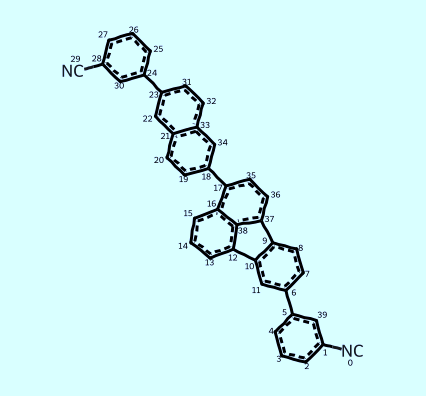 [C-]#[N+]c1cccc(-c2ccc3c(c2)-c2cccc4c(-c5ccc6cc(-c7cccc(C#N)c7)ccc6c5)ccc-3c24)c1